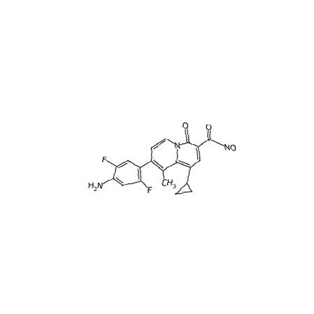 Cc1c(-c2cc(F)c(N)cc2F)ccn2c(=O)c(C(=O)N=O)cc(C3CC3)c12